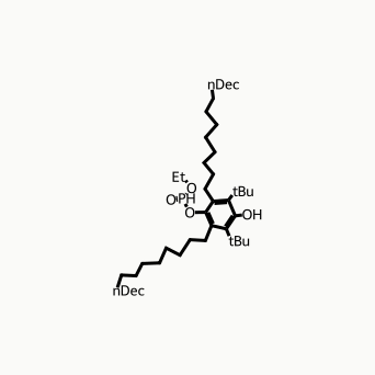 CCCCCCCCCCCCCCCCCCc1c(O[PH](=O)OCC)c(CCCCCCCCCCCCCCCCCC)c(C(C)(C)C)c(O)c1C(C)(C)C